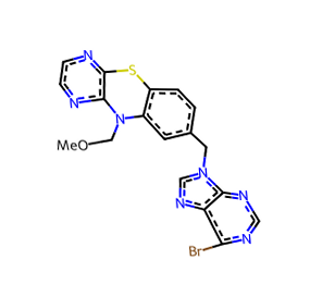 COCN1c2cc(Cn3cnc4c(Br)ncnc43)ccc2Sc2nccnc21